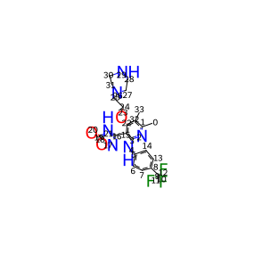 Cc1nc(Nc2ccc(C(F)(F)F)cc2)c(-c2noc(=O)[nH]2)c(OCCN2CCNCC2)c1C